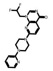 O=c1ncn(CC(F)F)c2nc(N3CCN(c4ccccn4)CC3)ccc12